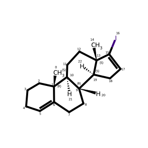 C[C@]12CCCC=C1CC[C@@H]1[C@@H]2CC[C@]2(C)C(I)=CC[C@@H]12